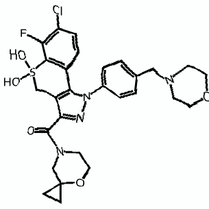 O=C(c1nn(-c2ccc(CN3CCOCC3)cc2)c2c1CS(O)(O)c1c-2ccc(Cl)c1F)N1CCOC2(CC2)C1